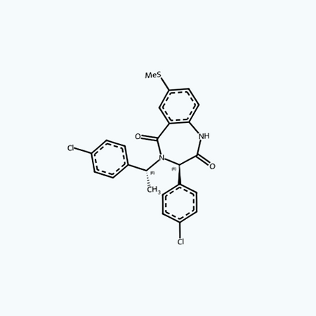 CSc1ccc2c(c1)C(=O)N([C@H](C)c1ccc(Cl)cc1)[C@H](c1ccc(Cl)cc1)C(=O)N2